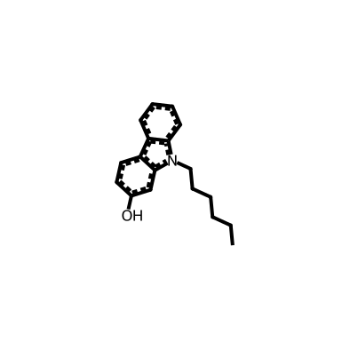 CCCCCCn1c2ccccc2c2ccc(O)cc21